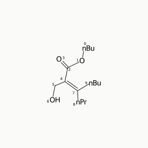 CCCCOC(=O)C(CO)=C(CCC)CCCC